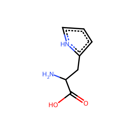 NC(Cc1ccc[nH]1)C(=O)O